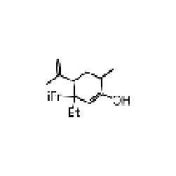 C=C(C)C1CC(C)C(O)=CC1(CC)C(C)C